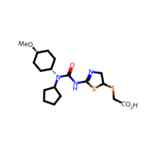 CO[C@H]1CC[C@H](N(C(=O)NC2=NCC(SCC(=O)O)S2)C2CCCC2)CC1